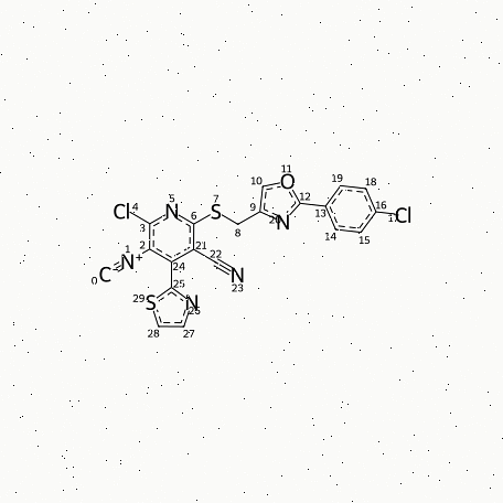 [C-]#[N+]c1c(Cl)nc(SCc2coc(-c3ccc(Cl)cc3)n2)c(C#N)c1-c1nccs1